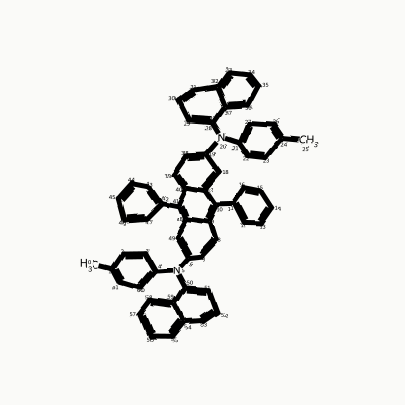 Cc1ccc(N(c2ccc3c(-c4ccccc4)c4cc(N(c5ccc(C)cc5)c5cccc6ccccc56)ccc4c(-c4ccccc4)c3c2)c2cccc3ccccc23)cc1